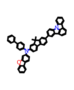 CC1(C)c2cc(-c3ccc4c(c3)c3cccc5c6ccccc6n4c53)ccc2-c2ccc(N(c3ccc(-c4ccccc4)cc3)c3ccc4c(c3)oc3ccccc34)cc21